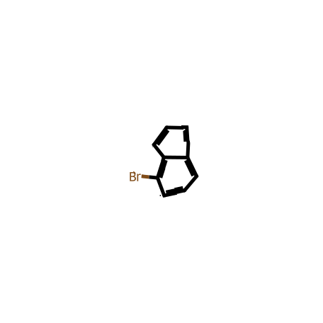 Brc1[c]ccc2ccccc12